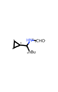 CCCCC(N[C]=O)C1CC1